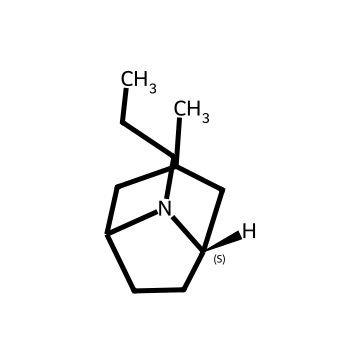 CCCN1C2CC[C@H]1CC(C)C2